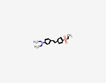 C=CS(=O)(=O)c1ccc(C=Cc2ccc(N(CC)CC)cc2)cc1